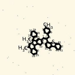 Cc1ccc(C/C(=C/c2ccc3c(c2)C(C)(c2ccccc2)c2cc(C)c4ccccc4c2-3)c2cccc3c2sc2ccccc23)cc1